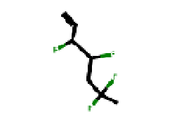 C=CC(F)C(F)CC(C)(F)F